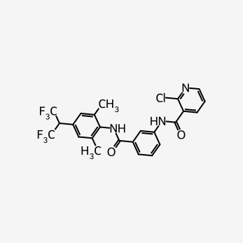 Cc1cc(C(C(F)(F)F)C(F)(F)F)cc(C)c1NC(=O)c1cccc(NC(=O)c2cccnc2Cl)c1